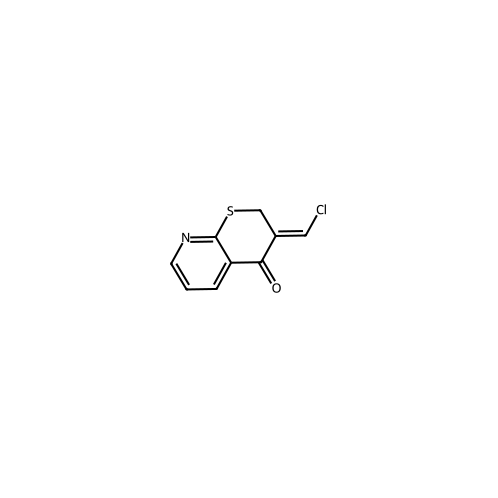 O=C1/C(=C/Cl)CSc2ncccc21